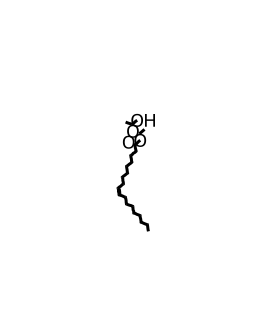 CCCCCCCC/C=C\CCCCCCCC(=O)OC(C)OC(C)O